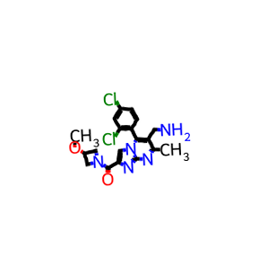 COC1CN(C(=O)c2cn3c(-c4ccc(Cl)cc4Cl)c(CN)c(C)nc3n2)C1